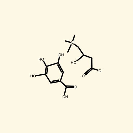 C[N+](C)(C)CC(O)CC(=O)[O-].O=C(O)c1cc(O)c(O)c(O)c1